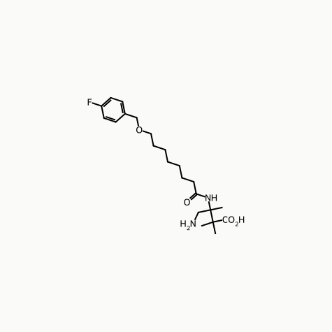 CC(CN)(NC(=O)CCCCCCCOCc1ccc(F)cc1)C(C)(C)C(=O)O